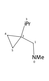 CNCC1(C(C)C)CC1